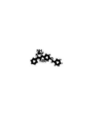 CCCCc1c(-c2ccccc2)nc(N)nc1-c1ccc(OCc2ccccc2)cc1